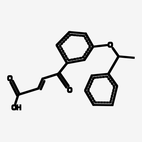 CC(Oc1cccc(C(=O)C=CC(=O)O)c1)c1ccccc1